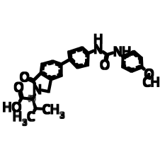 COc1ccc(NC(=O)Nc2ccc(-c3ccc4c(c3)CN([C@H](C(=O)O)C(C)C)C4=O)cc2)cc1